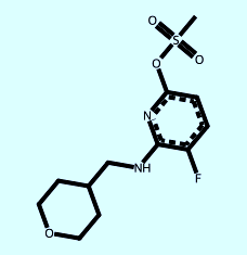 CS(=O)(=O)Oc1ccc(F)c(NCC2CCOCC2)n1